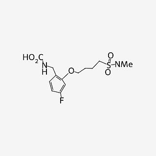 CNS(=O)(=O)CCCCOc1cc(F)ccc1CNC(=O)O